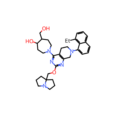 CCc1cccc2cccc(N3CCc4c(nc(OCC56CCCN5CCC6)nc4N4CCC(O)C(CO)CC4)C3)c12